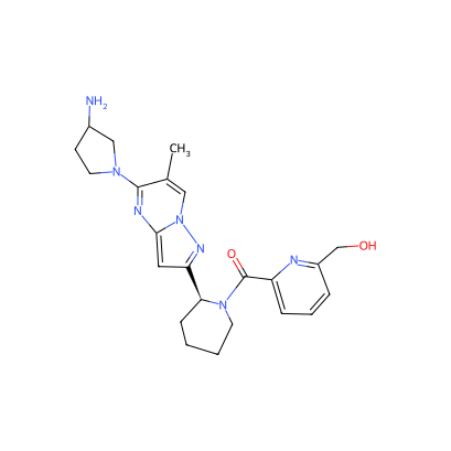 Cc1cn2nc([C@@H]3CCCCN3C(=O)c3cccc(CO)n3)cc2nc1N1CCC(N)C1